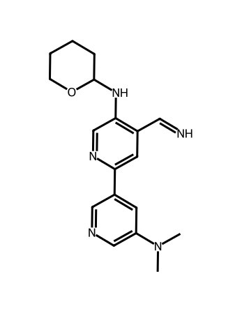 CN(C)c1cncc(-c2cc(C=N)c(NC3CCCCO3)cn2)c1